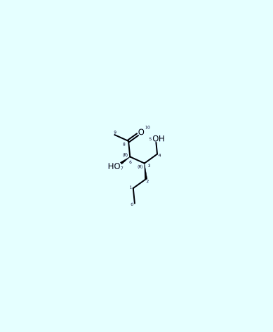 CCC[C@H](CO)[C@@H](O)C(C)=O